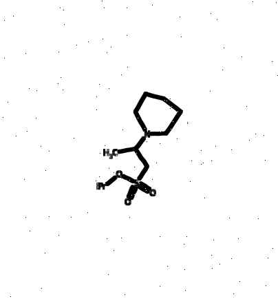 CC(C)OS(=O)(=O)CC(C)N1CCCCC1